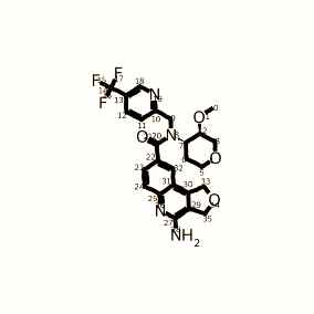 CO[C@H]1COCC[C@@H]1N(Cc1ccc(C(F)(F)F)cn1)C(=O)c1ccc2nc(N)c3c(c2c1)COC3